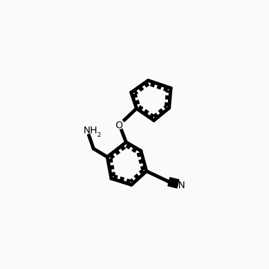 N#Cc1ccc(CN)c(Oc2ccccc2)c1